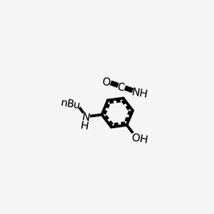 CCCCNc1cccc(O)c1.N=C=O